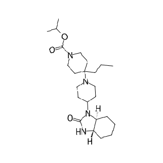 CCCC1(N2CCC(N3C(=O)N[C@H]4CCCC[C@@H]43)CC2)CCN(C(=O)OC(C)C)CC1